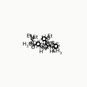 CCOc1ccccc1Oc1nc(Nc2cccc(C(=O)N(C)CCN(CC)CC)c2)ncc1C(=O)Nc1c(C)cccc1C